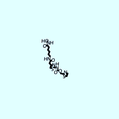 O=C(CCCCCNC(=O)Cc1csc(NC(=O)OCc2nccs2)n1)NO